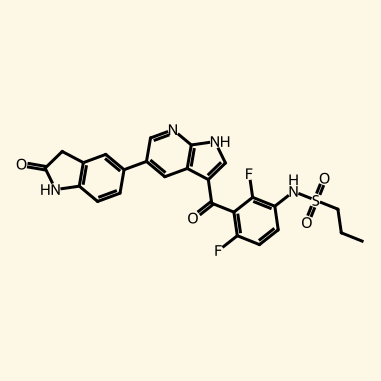 CCCS(=O)(=O)Nc1ccc(F)c(C(=O)c2c[nH]c3ncc(-c4ccc5c(c4)CC(=O)N5)cc23)c1F